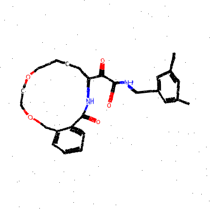 Cc1cc(C)cc(CNC(=O)C(=O)C2CCCCOCCOCc3ccccc3C(=O)N2)c1